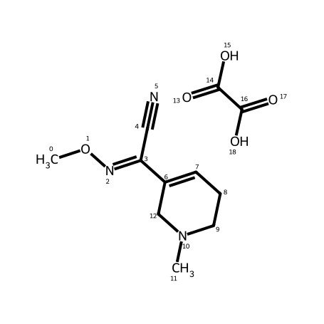 CON=C(C#N)C1=CCCN(C)C1.O=C(O)C(=O)O